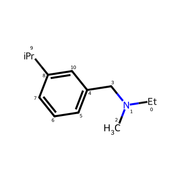 CCN(C)Cc1cccc(C(C)C)c1